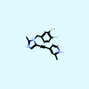 Cc1cc(C#Cc2cnc(C)n2Cc2ccc(F)c(F)c2)ccn1